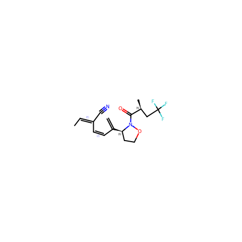 C=C(/C=C\C(C#N)=C/C)[C@@H]1CCON1C(=O)[C@@H](C)CC(F)(F)F